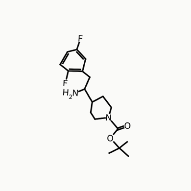 CC(C)(C)OC(=O)N1CCC(C(N)Cc2cc(F)ccc2F)CC1